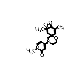 Cn1ccc(N2CCOC3(C=C(C#N)C(=O)C(C)(C)C3)C2)cc1=O